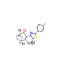 CCc1sc(-c2ccc(C)cc2)nc1C1=C(OC(C)=O)[C@H]2CC[C@H](C2)C1=O